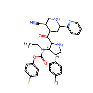 CCN(C(=O)Oc1ccc(F)cc1)[C@H]1C(C(=O)C2CC(c3ccccn3)NCC2C#N)NC[C@@H]1c1ccc(Cl)cc1